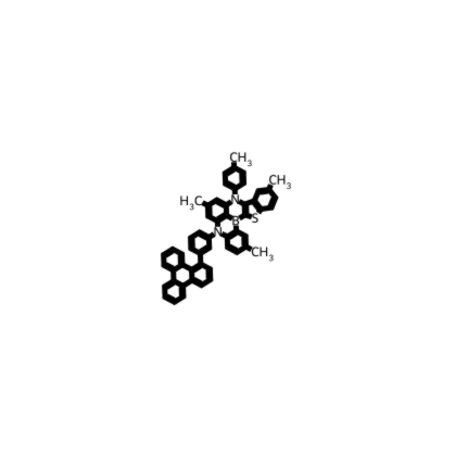 Cc1ccc(N2c3cc(C)cc4c3B(c3cc(C)ccc3N4c3cccc(-c4cccc5c6ccccc6c6ccccc6c45)c3)c3sc4ccc(C)cc4c32)cc1